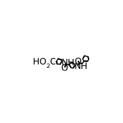 O=C(Cc1ccccc1)Nc1ccc(C(=O)Nc2ccc(C(=O)O)cc2)cc1